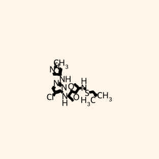 CC(C)CSNC1COC2C(Nc3nc(Nc4cnn(C)c4)ncc3Cl)COC12